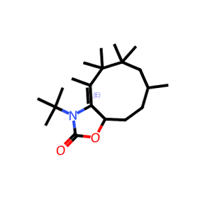 C/C1=C2/C(CCC(C)CC(C)(C)C1(C)C)OC(=O)N2C(C)(C)C